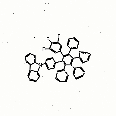 Fc1cc(-c2c(-c3ccccc3)c(-c3ccccc3)c(-c3ccccc3)c(-c3ccccc3)c2-c2ccc(-n3c4ccccc4c4ccccc43)cc2)cc(F)c1F